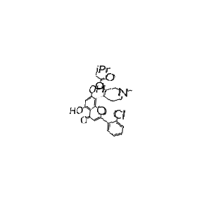 CC(C)CC(=O)O[C@@H]1CN(C)CC[C@@H]1c1c(O)cc(O)c2c(=O)cc(-c3ccccc3Cl)oc12